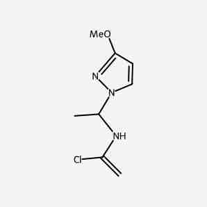 C=C(Cl)NC(C)n1ccc(OC)n1